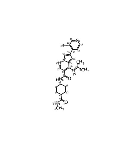 CNC(=O)[C@H]1CC[C@H](NC(=O)c2cnn3cc(-c4ccncc4F)cc3c2NC(C)C)CC1